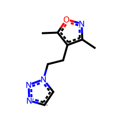 Cc1noc(C)c1CCn1c[c]nn1